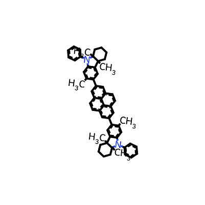 Cc1cc2c(cc1-c1cc3ccc4cc(-c5cc6c(cc5C)N(c5ccccc5)C5(C)CCCCC65C)cc5ccc(c1)c3c45)C1(C)CCCCC1(C)N2c1ccccc1